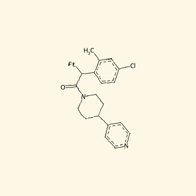 CCC(C(=O)N1CCC(c2ccncc2)CC1)c1ccc(Cl)cc1C